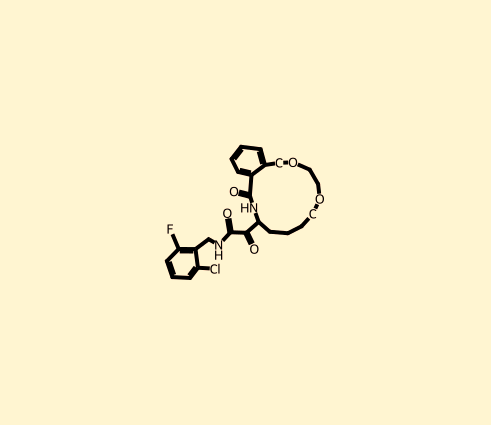 O=C(NCc1c(F)cccc1Cl)C(=O)C1CCCCOCCOCc2ccccc2C(=O)N1